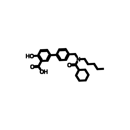 CCCCCN(Cc1ccc(-c2ccc(O)c(C(=O)O)c2)cc1)C(=O)C1CCCCC1